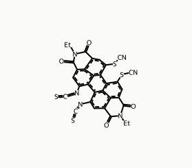 CCN1C(=O)c2cc(N=C=S)c3c4c(N=C=S)cc5c6c(cc(SC#N)c(c7c(SC#N)cc(c2c37)C1=O)c64)C(=O)N(CC)C5=O